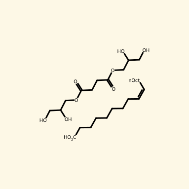 CCCCCCCC/C=C\CCCCCCCC(=O)O.O=C(CCC(=O)OCC(O)CO)OCC(O)CO